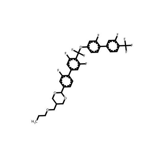 CCCOCC1COC(c2ccc(-c3cc(F)c(C(F)(F)Oc4ccc(-c5ccc(C(F)(F)F)c(F)c5)c(F)c4)c(F)c3)c(F)c2)OC1